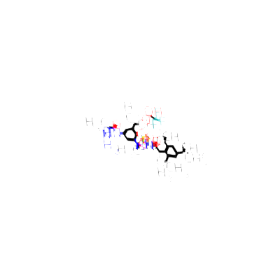 CC(N)C(=O)Nc1cc(C(C)C)c(OS(=O)(=O)NC(=O)Cc2c(C(C)C)cc(C(C)C)cc2C(C)C)c(C(C)C)c1.O=C(O)C(F)(F)F